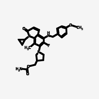 COc1ccc(CNc2c(F)c(N3CCC(COC(N)=O)C3)c(C)c3c2ccc(=O)n3C2CC2)cc1